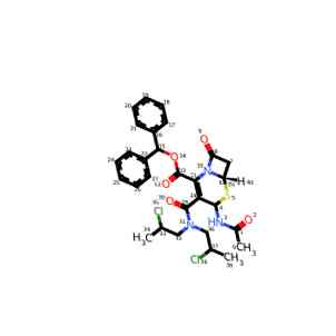 CC(=O)NC1S[C@H]2CC(=O)N2C(C(=O)OC(c2ccccc2)c2ccccc2)=C1C(=O)N(CC(C)Cl)CC(C)Cl